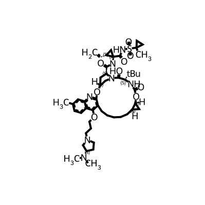 C=C[C@@H]1C[C@]1(NC(=O)[C@@H]1C[C@@H]2CN1C(=O)[C@H](C(C)(C)C)NC(=O)O[C@@H]1C[C@H]1CCCCCc1c(nc3cc(C)ccc3c1OCCCN1CC[C@H](N(C)C)C1)O2)C(=O)NS(=O)(=O)C1(C)CC1